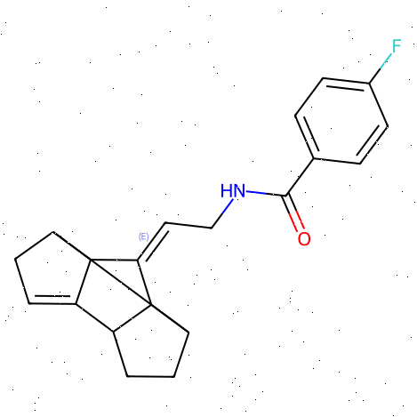 O=C(NC/C=C1/C2C3=CCC2C2CCC3C12)c1ccc(F)cc1